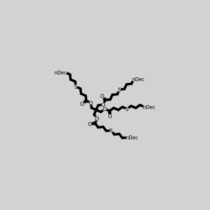 CCCCCCCCCCCCCSCCCC(=O)OCC(COC(=O)CCCSCCCCCCCCCCCCC)(COC(=O)CCCSCCCCCCCCCCCCC)COC(=O)CCCSCCCCCCCCCCCCC